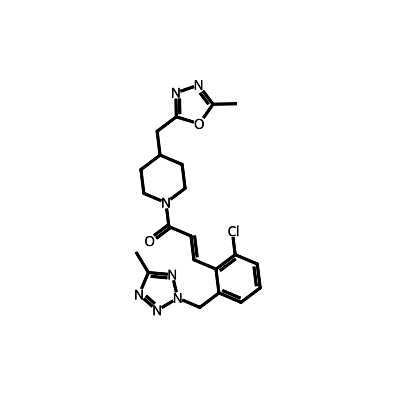 Cc1nnn(Cc2cccc(Cl)c2/C=C/C(=O)N2CCC(Cc3nnc(C)o3)CC2)n1